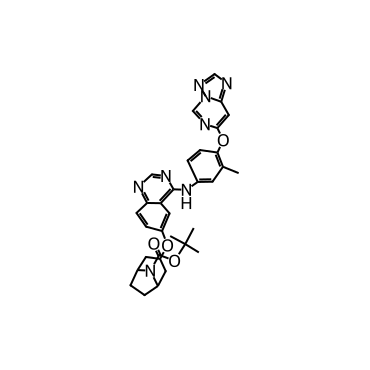 Cc1cc(Nc2ncnc3ccc(OC4CC5CCC(C4)N5C(=O)OC(C)(C)C)cc23)ccc1Oc1cc2ncnn2cn1